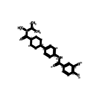 CC(C)N(C)C(=O)C1CCC(c2ccc(NC(=O)c3ccc(Cl)c(Cl)c3)cc2)CC1